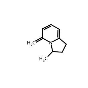 C=C1C=CC=C2CCC(C)N12